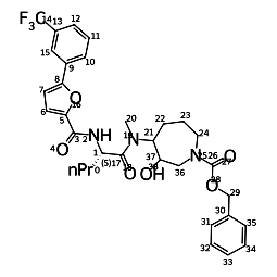 CCC[C@H](NC(=O)c1ccc(-c2cccc(C(F)(F)F)c2)o1)C(=O)N(C)C1CCCN(C(=O)OCc2ccccc2)CC1O